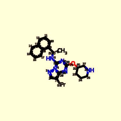 CC(C)c1cnn2c(N[C@@H](C)c3cccc4ccccc34)nc(O[C@@H]3CCCNC3)nc12